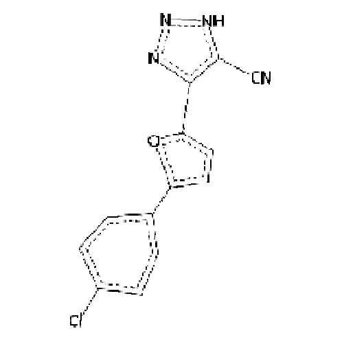 N#Cc1[nH]nnc1-c1ccc(-c2ccc(Cl)cc2)o1